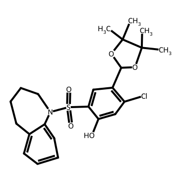 CC1(C)OC(c2cc(S(=O)(=O)N3CCCCc4ccccc43)c(O)cc2Cl)OC1(C)C